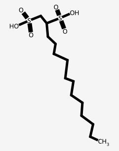 CCCCCCCCCCCCC(CS(=O)(=O)O)S(=O)(=O)O